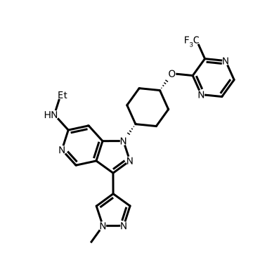 CCNc1cc2c(cn1)c(-c1cnn(C)c1)nn2[C@H]1CC[C@@H](Oc2nccnc2C(F)(F)F)CC1